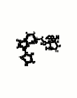 O=C(O)[C@]1(OCc2ccc3nnc(-c4cccs4)n3n2)CCCN1